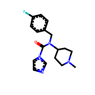 CN1CCC(N(Cc2ccc(F)cc2)C(=O)n2ccnc2)CC1